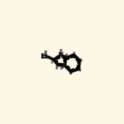 CCc1cn2cc[c]cc2n1